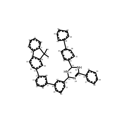 CC1(C)c2ccccc2-c2ccc(-c3cccc(-c4cccc(C5N=C(c6ccccc6)NC(c6ccc(-c7ccccc7)cc6)N5)c4)c3)cc21